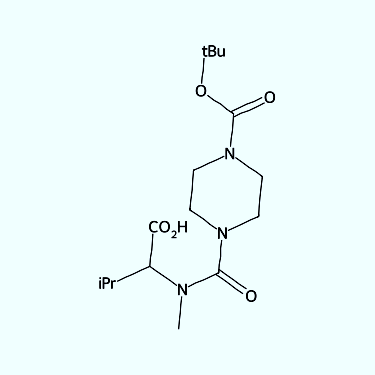 CC(C)C(C(=O)O)N(C)C(=O)N1CCN(C(=O)OC(C)(C)C)CC1